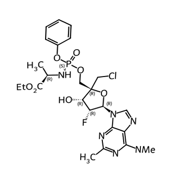 CCOC(=O)[C@@H](C)N[P@](=O)(OC[C@@]1(CCl)O[C@@H](n2cnc3c(NC)nc(C)nc32)[C@H](F)[C@@H]1O)Oc1ccccc1